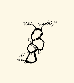 CC[C@]12CC[C@@H]3c4cc(OC)c(NS(=O)(=O)O)cc4CC[C@H]3C1=CC[C@@H]2O